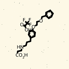 O=C(O)C(F)(F)F.O=C(O)CCNCCCc1ccc(OCCOCc2ccccc2)cc1